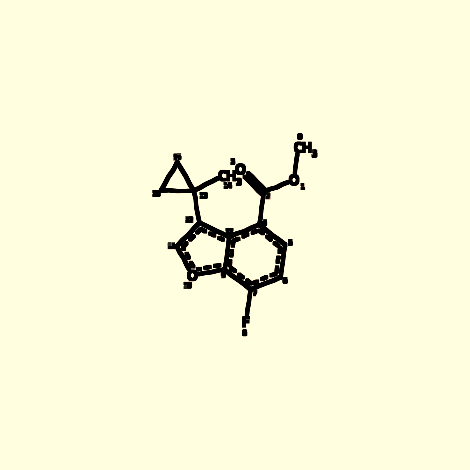 COC(=O)c1ccc(F)c2occ(C3(C)CC3)c12